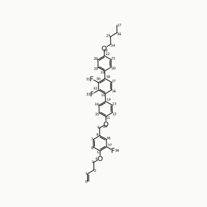 C=CCCOc1ccc(COc2ccc(-c3ccc(-c4ccc(OCCCC)cc4)c(F)c3F)cc2)cc1F